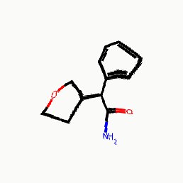 NC(=O)C(c1ccccc1)C1CCOC1